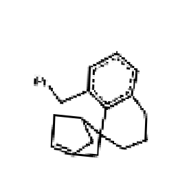 CC(C)Cc1cccc2c1C1(CCC2)CC2=CCC1C2